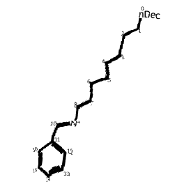 CCCCCCCCCCCCCCCCCC/N=C/c1ccccc1